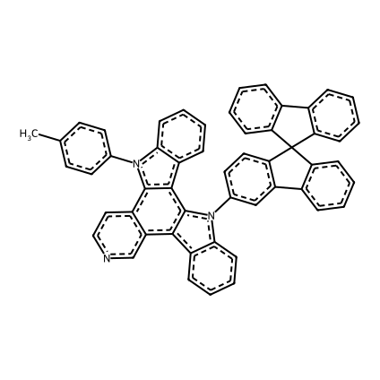 Cc1ccc(-n2c3ccccc3c3c2c2ccncc2c2c4ccccc4n(-c4ccc5c(c4)-c4ccccc4C54c5ccccc5-c5ccccc54)c23)cc1